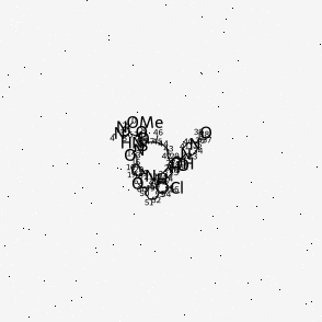 COc1nn(C)cc1C(=O)N[S@@]1(=O)=NC(=O)c2ccc3c(c2)N(C[C@@H]2CC[C@H]2[C@](O)(CC(=O)N2CCN(C4COC4)CC2)/C=C/C[C@H](C)C1)C[C@@]1(CCCc2cc(Cl)ccc21)CO3